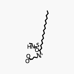 CCCCCCCCCCCCCCCCC(C[N+](C)(C)CCCC(=O)[O-])OC(=S)NCC